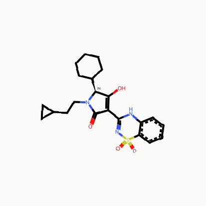 O=C1C(C2=NS(=O)(=O)c3ccccc3N2)=C(O)[C@H](C2CCCCC2)N1CCC1CC1